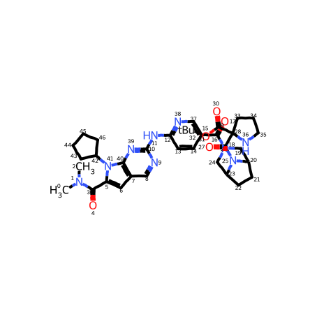 CN(C)C(=O)c1cc2cnc(Nc3ccc(C(=O)N4CC5CCC(C4)N5C(=O)C4(C(=O)OC(C)(C)C)CCCN4)cn3)nc2n1C1CCCC1